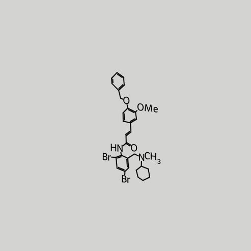 COc1cc(C=CC(=O)Nc2c(Br)cc(Br)cc2CN(C)C2CCCCC2)ccc1OCc1ccccc1